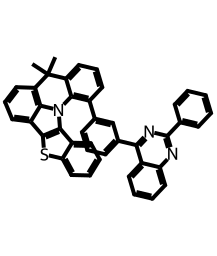 CC1(C)c2cccc(-c3cccc(-c4nc(-c5ccccc5)nc5ccccc45)c3)c2-n2c3c1cccc3c1sc3ccccc3c12